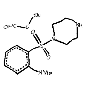 CC(C)(C)OC=O.CNc1ccccc1S(=O)(=O)N1CCNCC1